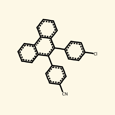 N#Cc1ccc(-c2c(-c3ccc(Cl)cc3)c3ccccc3c3ccccc23)cc1